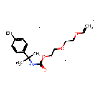 C=COCCOCCOC(=O)NC(C)(C)c1ccc(C(C)CC)cc1